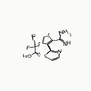 N=C(N)c1sccc1-c1nccs1.O=C(O)C(F)(F)F